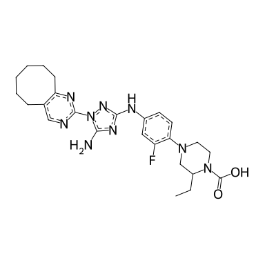 CCC1CN(c2ccc(Nc3nc(N)n(-c4ncc5c(n4)CCCCCC5)n3)cc2F)CCN1C(=O)O